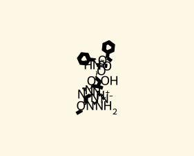 CCOc1nc(N)nc2c1ncn2[C@@H]1O[C@H](COP(=O)(NCc2ccccc2)OC(C)c2ccccc2)[C@@H](O)C1(C)N=[N+]=[N-]